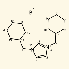 [Br-].c1c[n+](CC2CCCCC2)cn1CC1CCCCC1